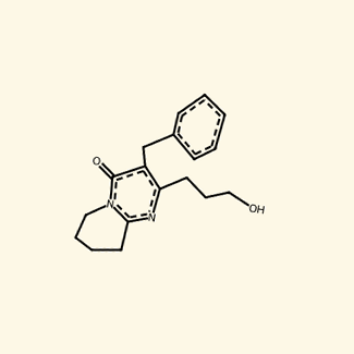 O=c1c(Cc2ccccc2)c(CCCO)nc2n1CCCC2